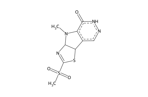 CN1c2c(cn[nH]c2=O)C2SC(S(C)(=O)=O)=NC21